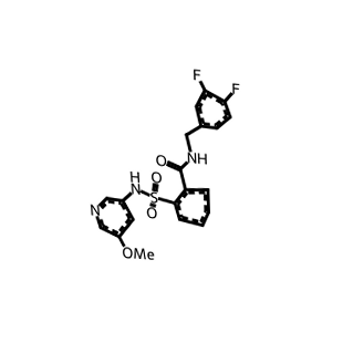 COc1cncc(NS(=O)(=O)c2ccccc2C(=O)NCc2ccc(F)c(F)c2)c1